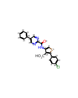 O=C(Nc1csc(-c2ccc(Cl)cc2)c1C(=O)O)c1ncc(-c2ccccc2)cn1